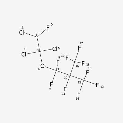 FC(Cl)C(Cl)(Cl)OC(F)(F)C(F)(C(F)(F)F)C(F)(F)F